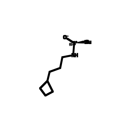 CC(C)(C)[S@+]([O-])NCCCC1CCC1